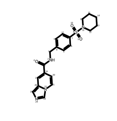 O=C(NCc1ccc(S(=O)(=O)N2CCCCC2)cc1)c1ccn2cncc2c1